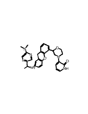 CC(Nc1ccc2c(c1)Cc1cccc(C3CN(c4ccc[nH]c4=O)CCO3)c1O2)c1cnc(N(C)C)cn1